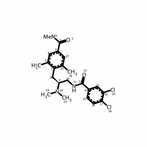 CNC(=O)c1cc(C)c(C[C@@H](CNC(=O)c2ccc(Cl)c(Cl)c2)N(C)C)c(C)c1